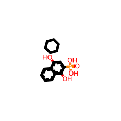 C1CCCCC1.O=P(O)(O)c1cc(O)c2ccccc2c1O